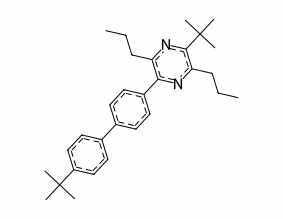 CCCc1nc(C(C)(C)C)c(CCC)nc1-c1ccc(-c2ccc(C(C)(C)C)cc2)cc1